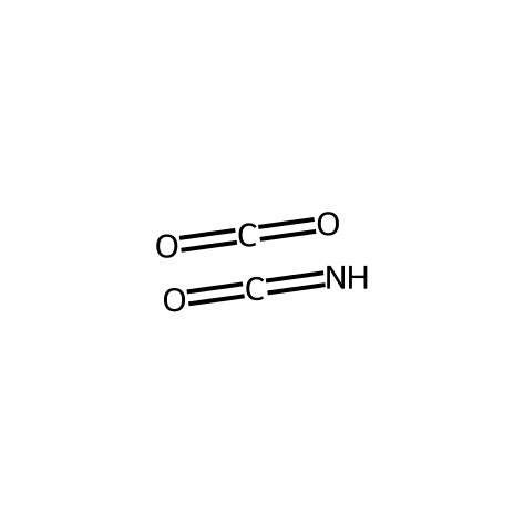 N=C=O.O=C=O